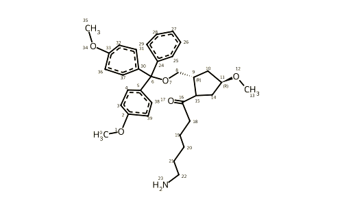 COc1ccc(C(OC[C@@H]2C[C@@H](OC)CC2C(=O)CCCCCN)(c2ccccc2)c2ccc(OC)cc2)cc1